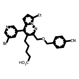 CCc1ccc2c(-c3cncc(Br)c3)c(CCCCC(=O)O)c(COCc3ccc(C#N)cc3)nn12